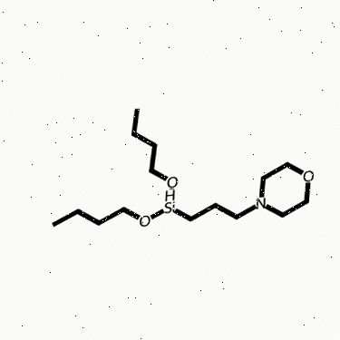 CCCCO[SiH](CCCN1CCOCC1)OCCCC